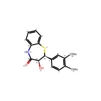 COc1ccc([C@@H]2Sc3ccccc3NC(=O)[C@@H]2O)cc1OC